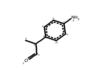 CC([C]=O)c1ccc(N)cc1